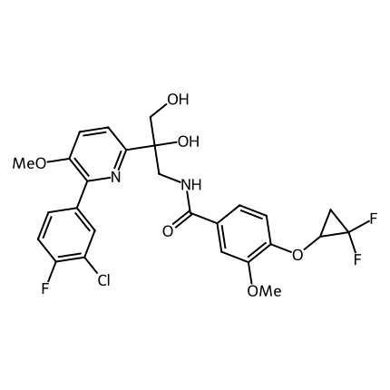 COc1cc(C(=O)NCC(O)(CO)c2ccc(OC)c(-c3ccc(F)c(Cl)c3)n2)ccc1OC1CC1(F)F